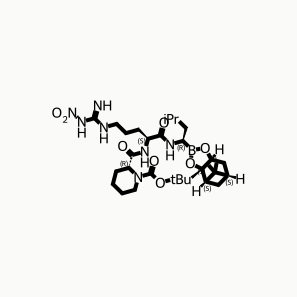 CC(C)C[C@H](NC(=O)[C@H](CCCNC(=N)N[N+](=O)[O-])NC(=O)[C@H]1CCCCN1C(=O)OC(C)(C)C)B1O[C@@H]2C[C@@H]3C[C@@H](C3(C)C)[C@]2(C)O1